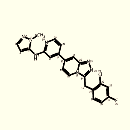 Cn1nccc1Nc1cc(-c2ccn3c(Cc4ccc(F)cc4Cl)nnc3c2)ccn1